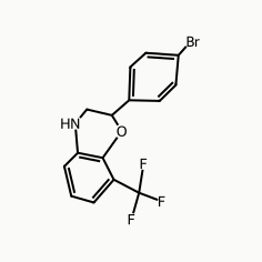 FC(F)(F)c1cccc2c1OC(c1ccc(Br)cc1)CN2